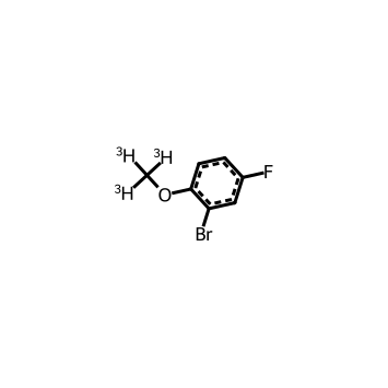 [3H]C([3H])([3H])Oc1ccc(F)cc1Br